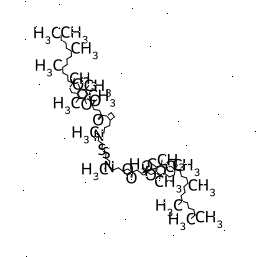 Cc1c(C)c2c(c(C)c1OC(=O)CCC(=O)OCCCN(C)CCSSCCN(C)CCCC1CCC1C(=O)CCC(=O)Oc1c(C)c(C)c3c(c1C)CCC(C)(CCCC(C)CCCC(C)CCCC(C)C)O3)CCC(C)(CCCC(C)CCCC(C)CCCC(C)C)O2